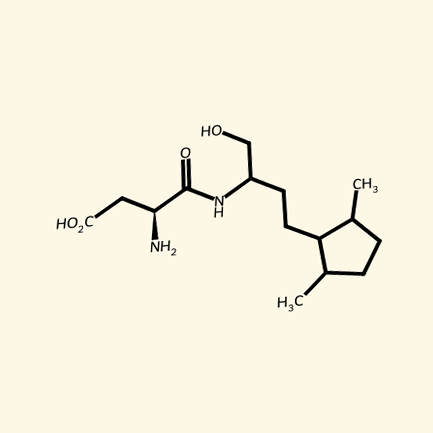 CC1CCC(C)C1CCC(CO)NC(=O)[C@@H](N)CC(=O)O